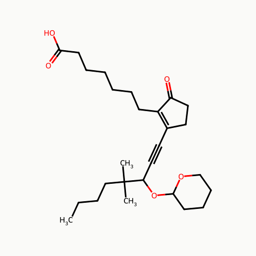 CCCCC(C)(C)C(C#CC1=C(CCCCCCC(=O)O)C(=O)CC1)OC1CCCCO1